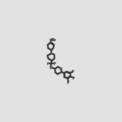 CCCCC1=CCC(C2CCC(C(F)(F)OC3CCC(c4cc(F)c(F)c(F)c4)OC3)CC2)CC1